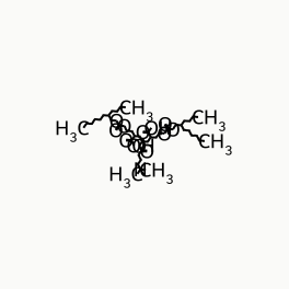 CCCCCCC(CCCC)COC(=O)OCCC(CC(CC(CCOC(=O)OCC(CCCC)CCCCCC)C(=O)O)OC(=O)CCCN(C)C)C(=O)O